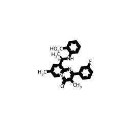 Cc1cc([C@@H](C)Nc2ccccc2C(=O)O)c2nc(-c3cccc(F)c3)c(C)c(=O)n2c1